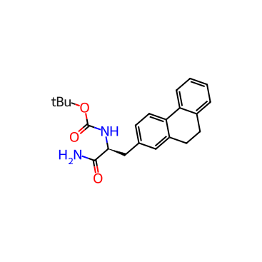 CC(C)(C)OC(=O)N[C@@H](Cc1ccc2c(c1)CCc1ccccc1-2)C(N)=O